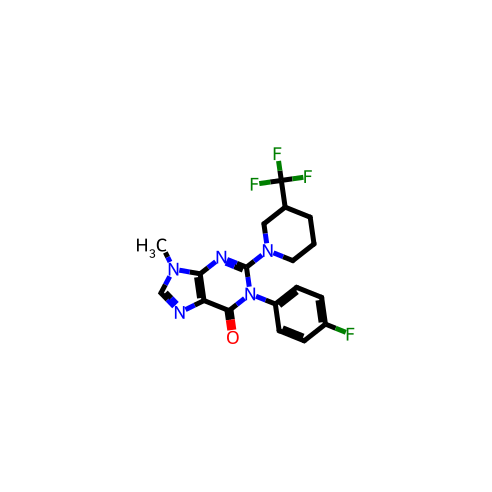 Cn1cnc2c(=O)n(-c3ccc(F)cc3)c(N3CCCC(C(F)(F)F)C3)nc21